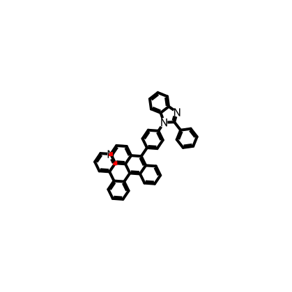 c1ccc(-c2nc3ccccc3n2-c2ccc(-c3c4ccccc4c(-c4ccccc4-c4cccnc4)c4ccccc34)cc2)cc1